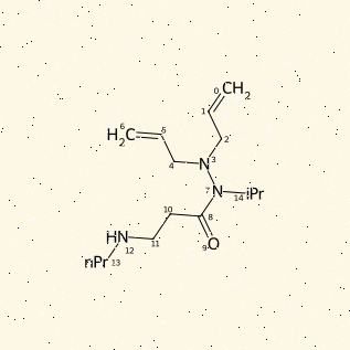 C=CCN(CC=C)N(C(=O)CCNCCC)C(C)C